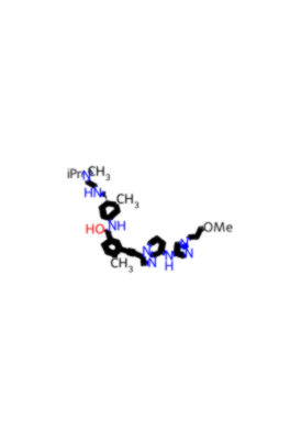 COCCCn1cc(NC2=CC=CN3C2=NCC3C#Cc2cc([C@@H](O)NC3=CC(C)[C@@H](CNCCN(C)C(C)C)C=C3)ccc2C)cn1